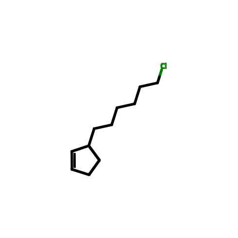 ClCCCCCCC1C=CCC1